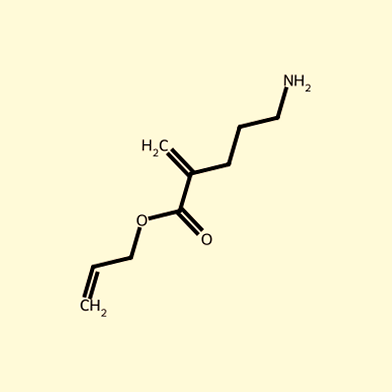 C=CCOC(=O)C(=C)CCCN